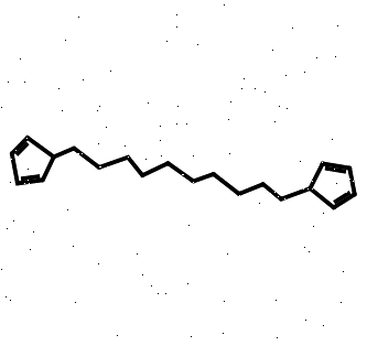 C1=CC(CCCCCCCCCCC2C=CC=C2)C=C1